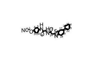 N#CCOc1ccc(NC(=O)CNC(=O)Cc2nc3ccc(-c4ccccc4)cc3s2)cc1